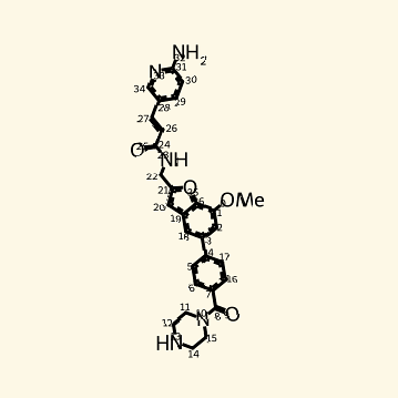 COc1cc(-c2ccc(C(=O)N3CCNCC3)cc2)cc2cc(CNC(=O)/C=C/c3ccc(N)nc3)oc12